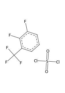 Fc1cccc(C(F)(F)F)c1F.O=S(=O)(Cl)Cl